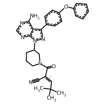 CC(C)(C)/C=C(\C#N)C(=O)N1CCCC(n2nc(-c3ccc(Oc4ccccc4)cc3)c3c(N)ncnc32)C1